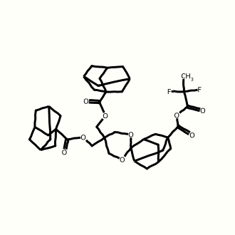 CC(F)(F)C(=O)OC(=O)C12CC3CC(C1)C1(OCC(COC(=O)C45CC6CC(CC(C6)C4)C5)(COC(=O)C45CC6CC(CC(C6)C4)C5)CO1)C(C3)C2